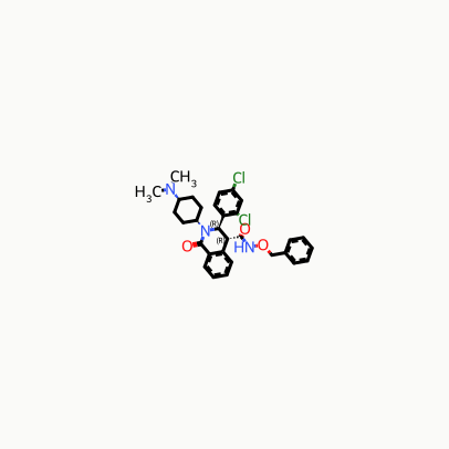 CN(C)[C@H]1CC[C@H](N2C(=O)c3ccccc3[C@@H](C(=O)NOCc3ccccc3)[C@@H]2c2ccc(Cl)cc2Cl)CC1